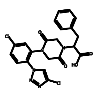 O=C(O)C(Cc1ccccc1)N1CC(=O)N(c2cc(Cl)ccc2-n2cc(Cl)nn2)CC1=O